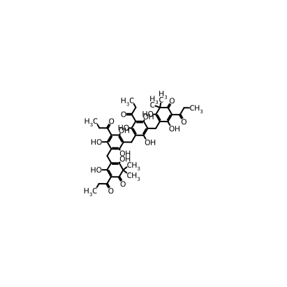 CCC(=O)C1=C(O)C(Cc2c(O)c(Cc3c(O)c(CC4=C(O)C(C)(C)C(=O)C(C(=O)CC)=C4O)c(O)c(C(=O)CC)c3O)c(O)c(C(=O)CC)c2O)=C(O)C(C)(C)C1=O